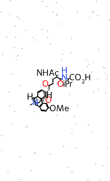 COc1ccc2c3c1O[C@H]1[C@@H](CC(=O)CCC(NC(C)=O)C(=O)NC(C(=O)O)C(C)C)C=CC4[C@@H](C2)N(C)CC[C@@]341